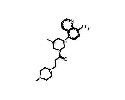 C[C@H]1C[C@@H](c2ccc(C(F)(F)F)c3ncccc23)CN(C(=O)CCN2CCN(C)CC2)C1